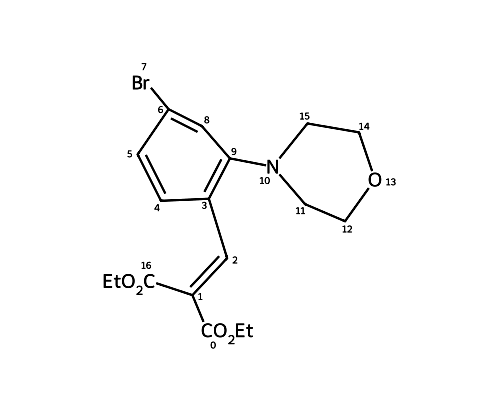 CCOC(=O)C(=Cc1ccc(Br)cc1N1CCOCC1)C(=O)OCC